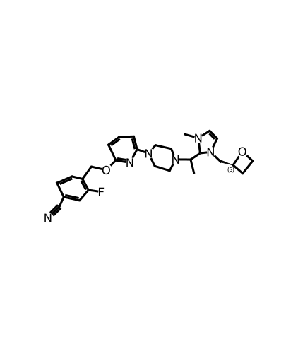 CC(C1N(C)C=CN1C[C@@H]1CCO1)N1CCN(c2cccc(OCc3ccc(C#N)cc3F)n2)CC1